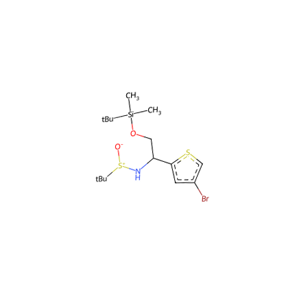 CC(C)(C)[S+]([O-])NC(CO[Si](C)(C)C(C)(C)C)c1cc(Br)cs1